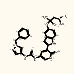 CN(C)CC(C)(C)Oc1ccc2[nH]c(-c3cc(NC(=O)Oc4cnn(Cc5ccccc5)c4)c[nH]c3=O)cc2c1